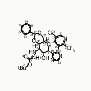 CC(C)(C)OC(=O)NN[C@@H]1[C@@H](O)[C@H](c2ncnn2-c2cc(Cl)cnc2C(F)(F)F)O[C@@H]2COC(c3ccccc3)O[C@H]12